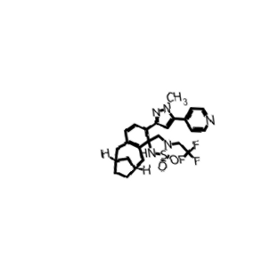 Cn1nc(C2C=CC3=C(C[C@@H]4CC[C@H](C3)C4)C23CN(CC(F)(F)F)S(=O)(=O)N3)cc1-c1ccncc1